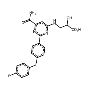 NC(=O)c1cc(NCC(O)C(=O)O)nc(-c2ccc(Oc3ccc(F)cc3)cc2)n1